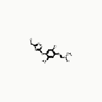 CCN(C)C=Nc1cc(C)c(Oc2nc(CCl)ns2)cc1Cl